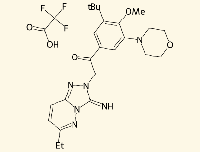 CCc1ccc2nn(CC(=O)c3cc(N4CCOCC4)c(OC)c(C(C)(C)C)c3)c(=N)n2n1.O=C(O)C(F)(F)F